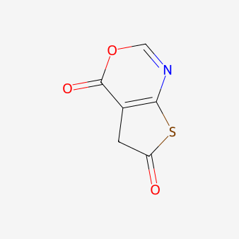 O=C1Cc2c(ncoc2=O)S1